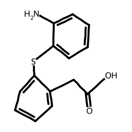 Nc1ccccc1Sc1ccccc1CC(=O)O